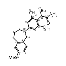 CSc1ccc2c(c1)CCCN(c1cc(C)c(C(C(N)=O)C(C)(C)C)c(C)c1)C2